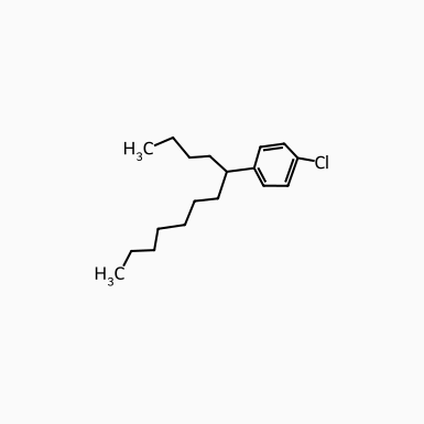 CCCCCCCC(CCCC)c1ccc(Cl)cc1